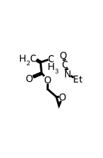 C=C(C)C(=O)OCC1CO1.CCN=C=O